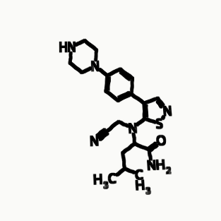 CC(C)CC(C(N)=O)N(CC#N)c1sncc1-c1ccc(N2CCNCC2)cc1